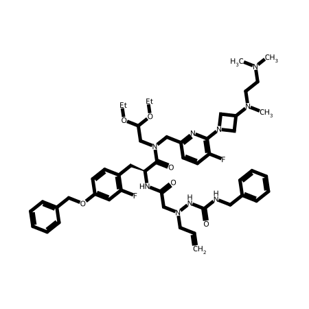 C=CCN(CC(=O)N[C@@H](Cc1ccc(OCc2ccccc2)cc1F)C(=O)N(Cc1ccc(F)c(N2CC(N(C)CCN(C)C)C2)n1)CC(OCC)OCC)NC(=O)NCc1ccccc1